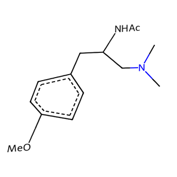 COc1ccc(CC(CN(C)C)NC(C)=O)cc1